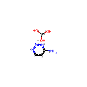 Nc1ccnnn1.OB(O)O